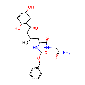 CC(CC(=O)C1CC(O)C=CC1O)C[C@H](NC(=O)OCc1ccccc1)C(=O)NCC(N)=O